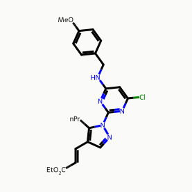 CCCc1c(C=CC(=O)OCC)cnn1-c1nc(Cl)cc(NCc2ccc(OC)cc2)n1